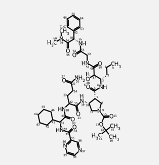 CCC[C@H](NC(=O)[C@@H]1CN(C(=O)OC(C)(C)C)C[C@@H]1NC(=O)C(CCC(N)=O)NC(=O)[C@@H](NC(=O)c1cnccn1)C1CCCCC1)C(O)C(=O)NCC(=O)N[C@H](C(=O)N(C)C)c1ccccc1